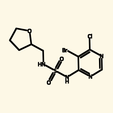 O=S(=O)(NCC1CCCO1)Nc1ncnc(Cl)c1Br